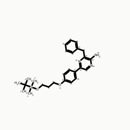 CC(C)(C)[Si](C)(C)OCCCOc1ccc(-c2cnc(N)c(Cc3ccccc3)n2)cc1